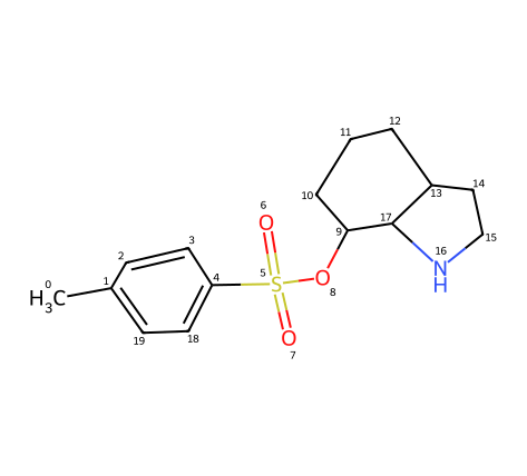 Cc1ccc(S(=O)(=O)OC2CCCC3CCNC32)cc1